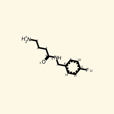 NCCCC(=O)NCc1ccc(F)cc1